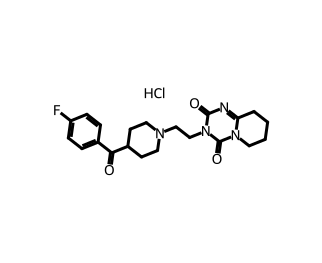 Cl.O=C(c1ccc(F)cc1)C1CCN(CCn2c(=O)nc3n(c2=O)CCCC3)CC1